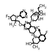 C#Cc1c(F)ccc2c1N([C@@H]1CCc3c(nc(OC[C@]4(C)C[C@@H](F)CN4c4cncnc4)nc3N3C[C@H]4CC(O)[C@@H](C3)N4C(=O)C=C)C1)C[C@](C)(O)C2